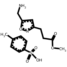 COC(=O)CCc1cc(CN)on1.Cc1ccc(S(=O)(=O)O)cc1